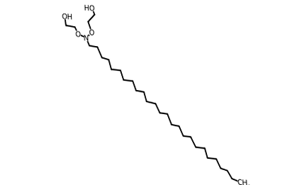 CCCCCCCCCCCCCCCCCCCCCCCCCCN(OCCO)OCCO